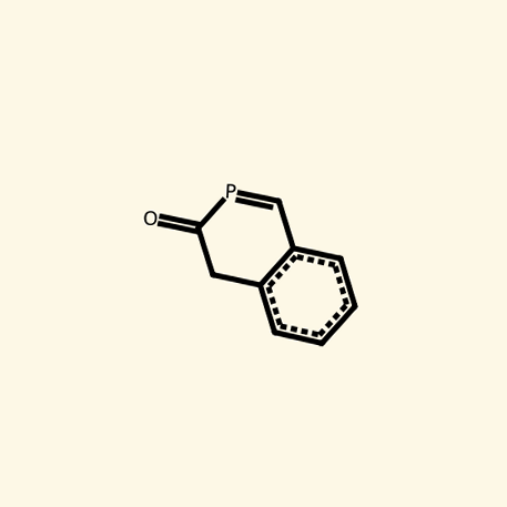 O=C1Cc2ccccc2C=P1